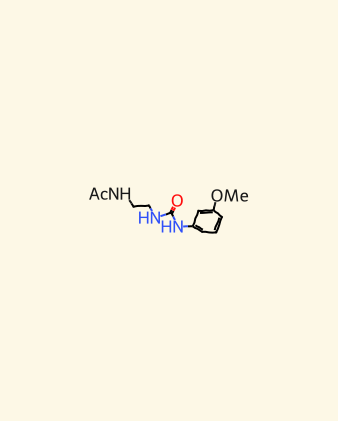 COc1cccc(NC(=O)NCCNC(C)=O)c1